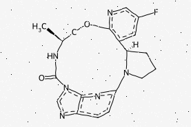 C[C@H]1COc2ncc(F)cc2[C@H]2CCCN2c2ccc3ncn(c3n2)C(=O)N1